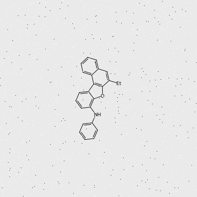 CCc1cc2ccccc2c2c1oc1c(Nc3ccccc3)cccc12